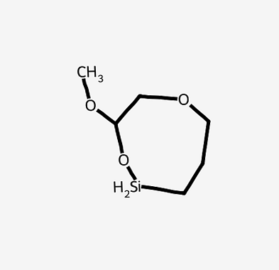 COC1COCCC[SiH2]O1